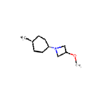 COC1CN([C@H]2CC[C@H](C)CC2)C1